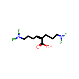 O=C(O)C(=CCCCN(F)F)CCCN(F)F